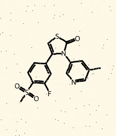 Cc1cncc(-n2c(-c3ccc(S(C)(=O)=O)c(F)c3)csc2=O)c1